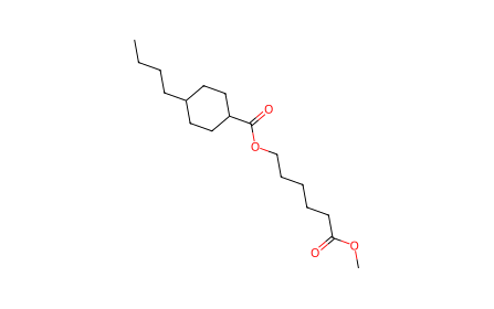 CCCCC1CCC(C(=O)OCCCCCC(=O)OC)CC1